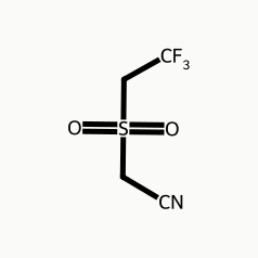 N#CCS(=O)(=O)CC(F)(F)F